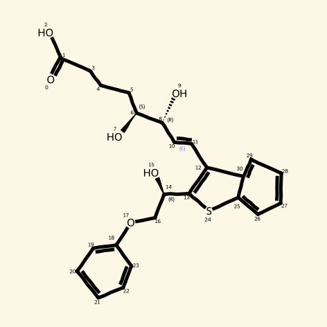 O=C(O)CCC[C@H](O)[C@H](O)/C=C/c1c([C@H](O)COc2ccccc2)sc2ccccc12